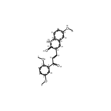 COc1ccc(OC)c(C(=O)/C=C/c2cc3cc(OC)ccc3[nH]c2=O)c1